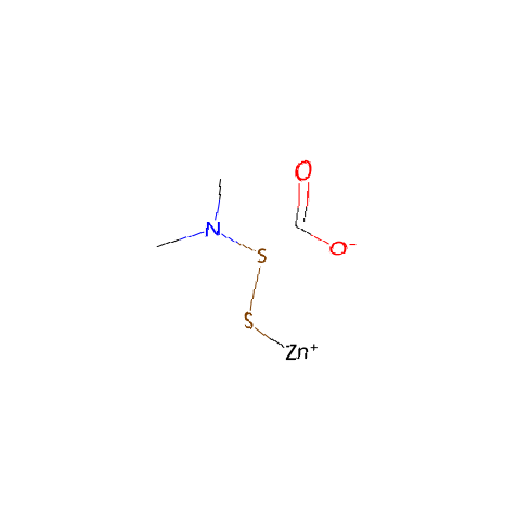 CN(C)S[S][Zn+].O=C[O-]